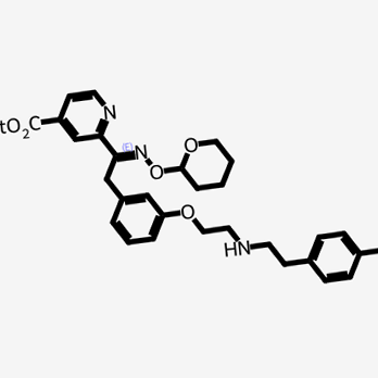 CCOC(=O)c1ccnc(/C(Cc2cccc(OCCNCCc3ccc(F)cc3)c2)=N/OC2CCCCO2)c1